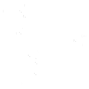 Cc1cc(C(=O)N[C@H]2CC[C@@H](n3c(=O)c4cc(F)cnc4n(-c4cccc(-c5ccc(CN(C)C(C)(C)C)cc5)c4)c3=O)CC2)nn1C